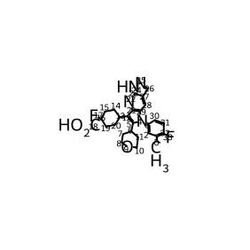 Cc1cc(-n2c(C3CCOCC3)c(C3CCC(F)(C(=O)O)CC3)c3nc4[nH]ncc4cc32)ccc1F